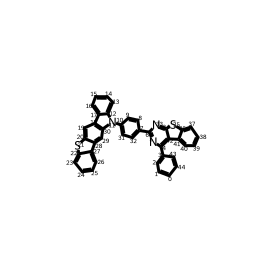 c1ccc(-c2nc(-c3ccc(-n4c5ccccc5c5cc6sc7ccccc7c6cc54)cc3)nc3sc4ccccc4c23)cc1